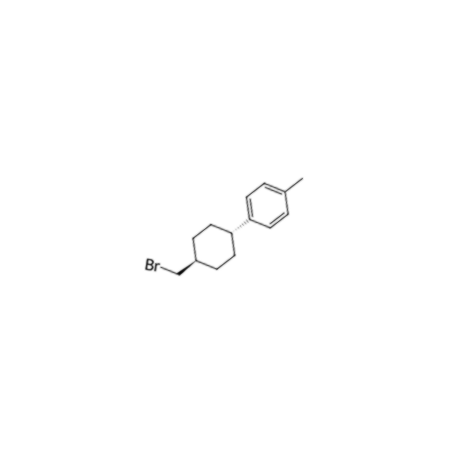 Cc1ccc([C@H]2CC[C@H](CBr)CC2)cc1